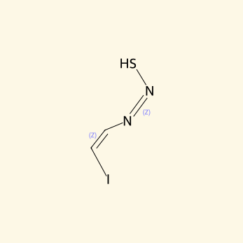 S/N=N\C=C/I